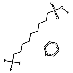 O=S(=O)(CCCCCCCCCC(F)(F)F)OF.c1ccncc1